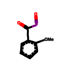 COc1ccccc1C(=O)P=O